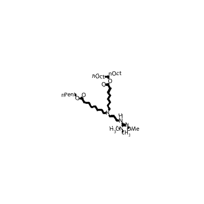 CCCCCCCCC(CCCCCCCC)OC(=O)CCCCCCCN(CCCCCCCC(=O)OCCCCC)CCCN/C(=N/OC)N(C)C